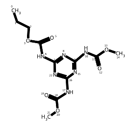 CCCOC(=O)Nc1nc(NC(=O)OC)nc(NC(=O)OC)n1